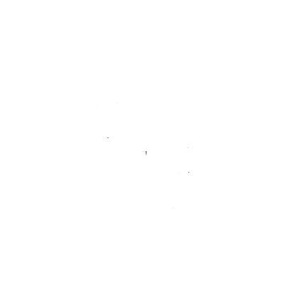 CC(C)(C)c1cc(-c2ccc(Br)cc2)cc(C(=O)O)c1O